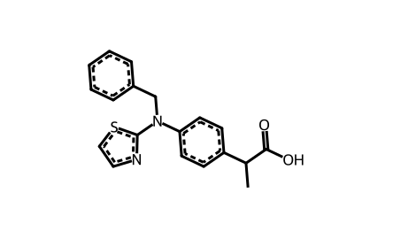 CC(C(=O)O)c1ccc(N(Cc2ccccc2)c2nccs2)cc1